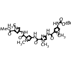 COC(=O)c1cc(NC(=O)c2cc(NC(=O)c3nc(NC(=O)c4cc(NC(=O)OC(C)(C)C)cn4C)cn3C)cn2C)cn1C